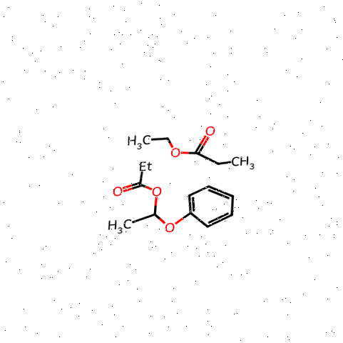 CCC(=O)OC(C)Oc1ccccc1.CCOC(=O)CC